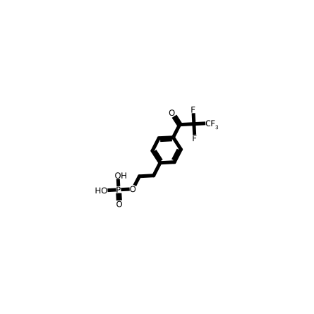 O=C(c1ccc(CCOP(=O)(O)O)cc1)C(F)(F)C(F)(F)F